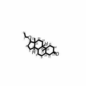 CCOC1CC[C@H]2C3CCC4CC(=O)CCC4(C)[C@H]3CCC12C